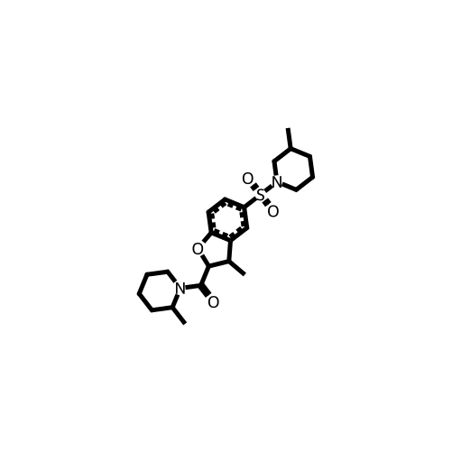 CC1CCCN(S(=O)(=O)c2ccc3c(c2)C(C)C(C(=O)N2CCCCC2C)O3)C1